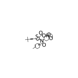 COC(O)c1sc(C#CC(C)(C)C)cc1N(C(=O)[C@H]1CC=C(C)CC1)C1CCC2(CC1)OCCO2